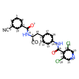 N#Cc1cccc(C(=O)N[C@@H](Cc2ccc(NC(=O)c3c(Cl)cncc3Cl)cc2)C(=O)O)c1